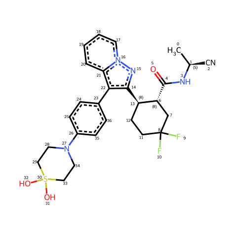 C[C@@H](C#N)NC(=O)[C@@H]1CC(F)(F)CC[C@H]1c1nn2ccccc2c1-c1ccc(N2CCS(O)(O)CC2)cc1